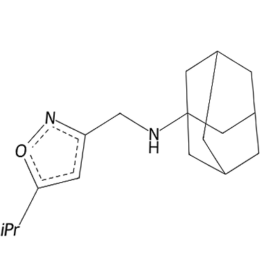 CC(C)c1cc(CNC23CC4CC(CC(C4)C2)C3)no1